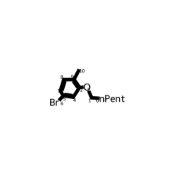 CCCCCCOc1cc(Br)ccc1C